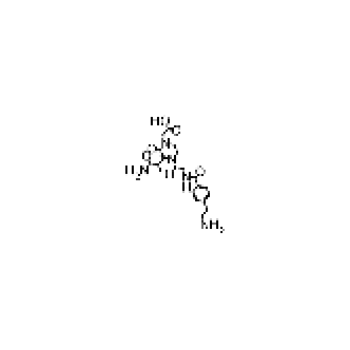 CC(C(N)=O)[C@H]1C(=O)N(CC(=O)O)CCN1C(=O)CNC(=O)c1ccc(CCN)cc1